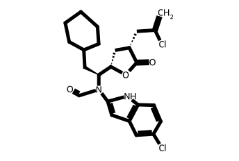 C=C(Cl)C[C@H]1C[C@@H]([C@H](CC2CCCCC2)N(C=O)c2cc3cc(Cl)ccc3[nH]2)OC1=O